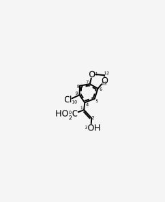 O=C(O)C(=CO)c1cc2c(cc1Cl)OCO2